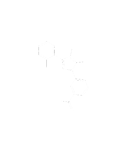 Cc1c(-c2ccccc2Cl)nn(-c2cc(C(=O)O)ccn2)c1O